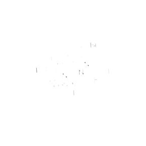 CS(=O)(=O)N(c1nn(C(F)C(F)F)c2c(Br)ccc(Cl)c12)S(C)(=O)=O